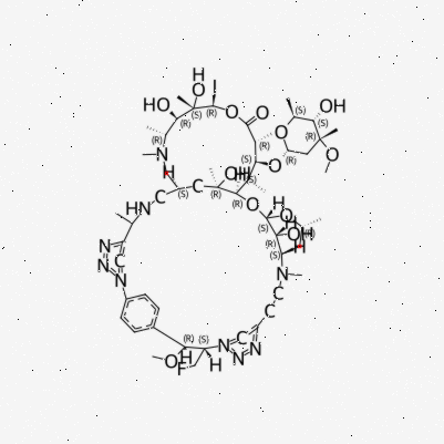 CO[C@@H]1c2ccc(cc2)-n2cc(nn2)C(C)NC[C@H]2CN(C)[C@H](C)[C@@H](O)[C@](C)(O)[C@@H](I)OC(=O)[C@H](C)[C@@H](O[C@H]3C[C@@](C)(OC)[C@@H](O)[C@H](C)O3)[C@H](C)[C@@H](O[C@@H]3O[C@H](C)C[C@@H]([C@H]3O)N(C)CCc3cn(nn3)[C@@H]1CF)[C@](C)(O)C2